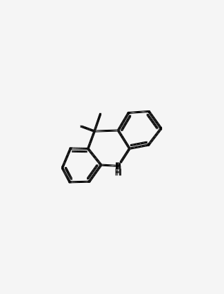 CC1(C)c2ccccc2Bc2ccccc21